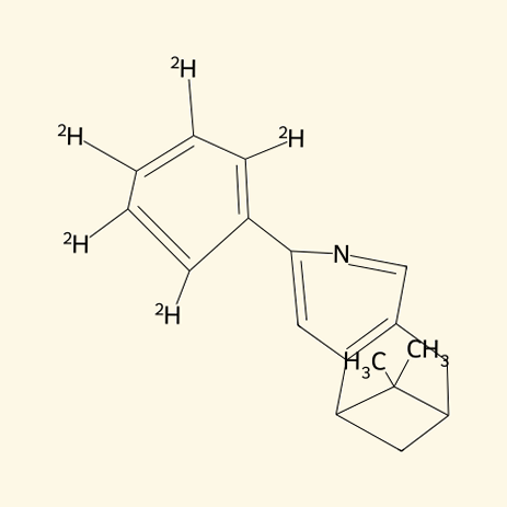 [2H]c1c([2H])c([2H])c(-c2cc3c(cn2)CC2CC3C2(C)C)c([2H])c1[2H]